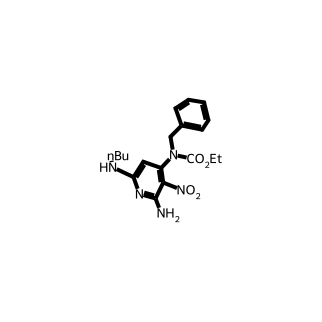 CCCCNc1cc(N(Cc2ccccc2)C(=O)OCC)c([N+](=O)[O-])c(N)n1